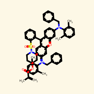 C=C(C)C(=O)OC1CCN(S(=O)(=O)c2ccccc2-c2c3cc/c(=[N+](/Cc4ccccc4)c4c(C)cccc4C)cc-3oc3cc(N(Cc4ccccc4)c4c(C)cccc4C)ccc23)CC1